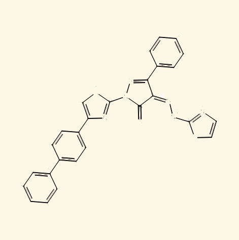 O=C1/C(=N\Nc2nccs2)C(c2ccccc2)=NN1c1nc(-c2ccc(-c3ccccc3)cc2)cs1